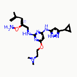 C=C(C)/C=C(/CNc1nc(Nc2cc(C3CC3)n[nH]2)cc(OCCN(C)C)n1)ON